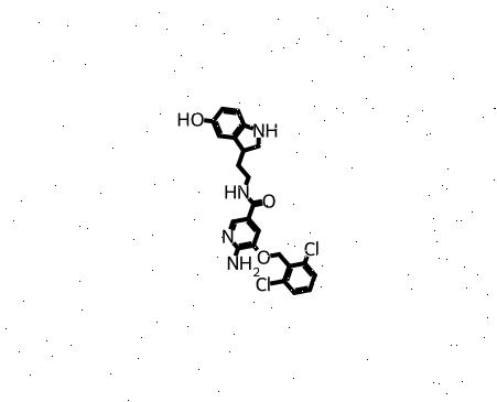 Nc1ncc(C(=O)NCCC2CNc3ccc(O)cc32)cc1OCc1c(Cl)cccc1Cl